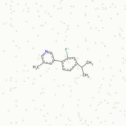 Cc1cncc(-c2ccc(C(C)C)cc2F)c1